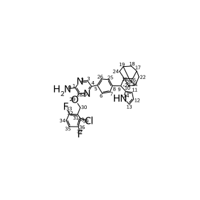 Nc1ncc(-c2ccc([C](c3ccc[nH]3)C34CC5CC(CC(C5)C3)C4)cc2)nc1OCc1c(F)ccc(F)c1Cl